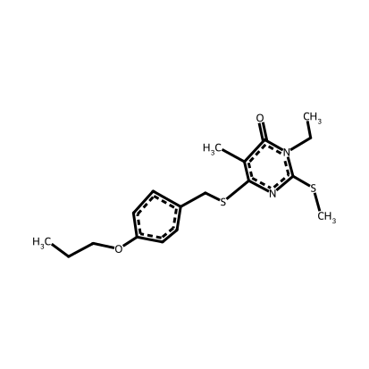 CCCOc1ccc(CSc2nc(SC)n(CC)c(=O)c2C)cc1